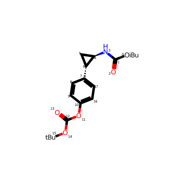 CC(C)COC(=O)N[C@@H]1C[C@H]1c1ccc(OC(=O)OC(C)(C)C)cc1